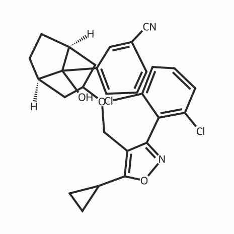 N#Cc1cccc(C2(O)[C@@H]3CC[C@H]2CC(OCc2c(-c4c(Cl)cccc4Cl)noc2C2CC2)C3)c1